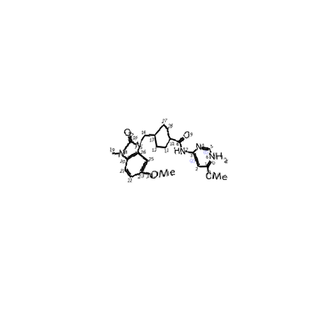 C=C(/C=C(\N=C/N)NC(=O)C1CCC(Cn2c(=O)n(C)c3ccc(OC)cc32)CC1)OC